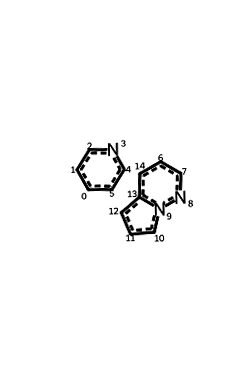 c1ccncc1.c1cnn2cccc2c1